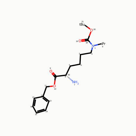 CC(C)N(CCCC[C@H](N)C(=O)OCc1ccccc1)C(=O)OC(C)(C)C